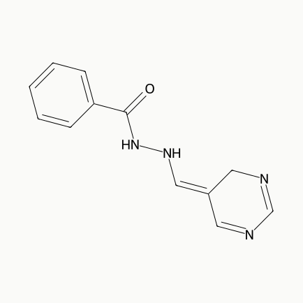 O=C(NNC=C1C=NC=NC1)c1ccccc1